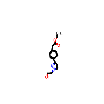 CCOC(=O)Cc1ccc(-c2ccn(CCO)n2)cc1